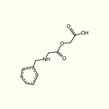 O=C(O)COC(=O)CNCc1ccccc1